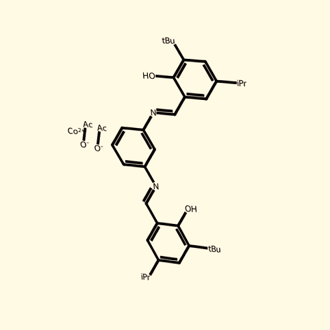 CC(=O)[O-].CC(=O)[O-].CC(C)c1cc(C=Nc2cccc(N=Cc3cc(C(C)C)cc(C(C)(C)C)c3O)c2)c(O)c(C(C)(C)C)c1.[Co+2]